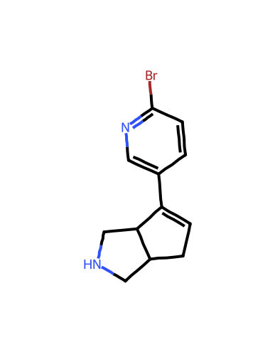 Brc1ccc(C2=CCC3CNCC23)cn1